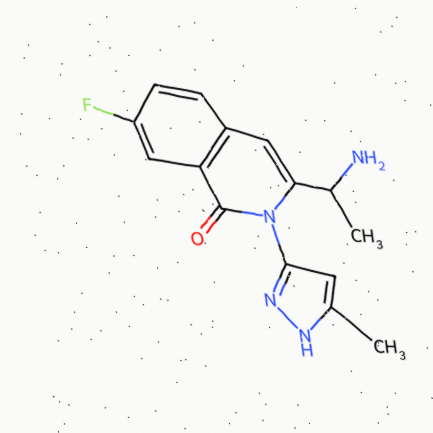 Cc1cc(-n2c(C(C)N)cc3ccc(F)cc3c2=O)n[nH]1